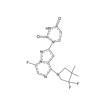 CC1(C)CN(c2ncc(F)n3nc(-n4ccc(=O)[nH]c4=O)cc23)CC1(F)F